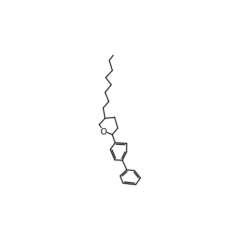 CCCCCCCCC1CCC(c2ccc(-c3ccccc3)cc2)OC1